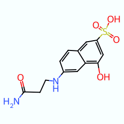 NC(=O)CCNc1ccc2cc(S(=O)(=O)O)cc(O)c2c1